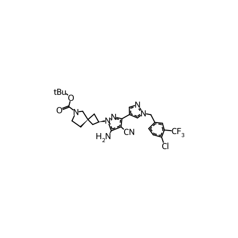 CC(C)(C)OC(=O)N1CC[C@]2(C1)C[C@H](n1nc(-c3cnn(Cc4ccc(Cl)c(C(F)(F)F)c4)c3)c(C#N)c1N)C2